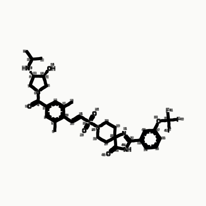 Cc1cc(C(=O)N2C[C@H](NC(C)C)[C@@H](O)C2)cc(C)c1C=CS(=O)(=O)N1CCC2(CC1)N=C(c1cccc(OC(F)(F)F)c1)NC2=O